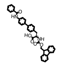 O=C(N[C@H](Cc1ccc(-c2ccc(NC(=O)c3ccccc3)cc2)cc1)C(=O)O)OCC1c2ccccc2-c2ccccc21